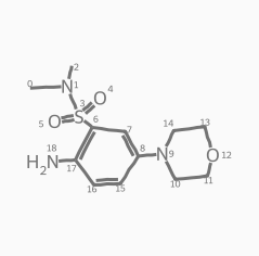 CN(C)S(=O)(=O)c1cc(N2CCOCC2)ccc1N